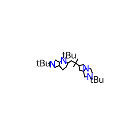 CC(C)(CC1CCC2CN(C(C)(C)C)CC2N1C(C)(C)C)C1CC2CN(C(C)(C)C)CCN2C1